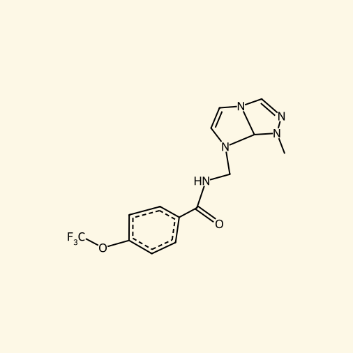 CN1N=CN2C=CN(CNC(=O)c3ccc(OC(F)(F)F)cc3)C21